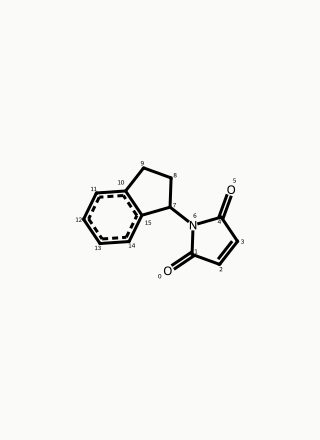 O=C1C=CC(=O)N1C1CCc2ccccc21